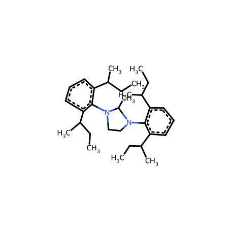 CCC(C)c1cccc(C(C)CC)c1N1CCN(c2c(C(C)CC)cccc2C(C)CC)C1C